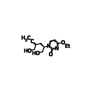 C=C=C(CO)C[C@H](CO)n1ccc(OCC)nc1=O